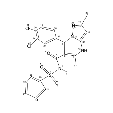 CC1=C(C(=O)N(C)S(=O)(=O)c2ccccc2)C(c2ccc(Cl)c(Cl)c2)n2nc(C)cc2N1